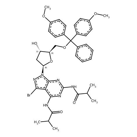 COc1ccc(C(OC[C@H]2O[C@@H](n3nc(Br)c4c(NC(=O)C(C)C)nc(NC(=O)C(C)C)nc43)C[C@@H]2O)(c2ccccc2)c2ccc(OC)cc2)cc1